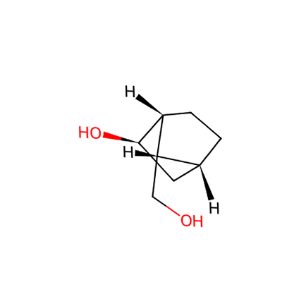 OC[C@H]1[C@@H]2CC[C@H]1[C@H](O)C2